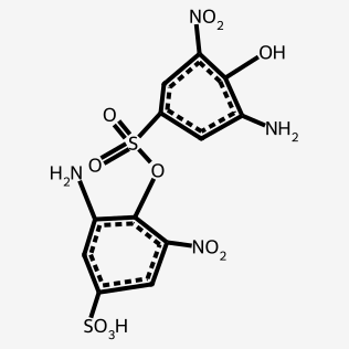 Nc1cc(S(=O)(=O)Oc2c(N)cc(S(=O)(=O)O)cc2[N+](=O)[O-])cc([N+](=O)[O-])c1O